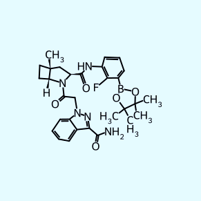 CC1(C)OB(c2cccc(NC(=O)[C@@H]3C[C@@]4(C)CC[C@H]4N3C(=O)Cn3nc(C(N)=O)c4ccccc43)c2F)OC1(C)C